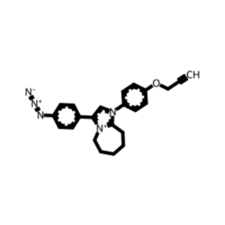 C#CCOc1ccc(-n2cc(-c3ccc(N=[N+]=[N-])cc3)[n+]3c2CCCCC3)cc1